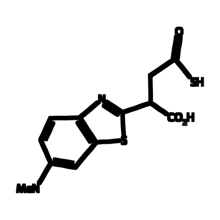 CNc1ccc2nc(C(CC(=O)S)C(=O)O)sc2c1